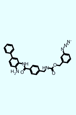 [N-]=[N+]=Nc1cccc(COC(=O)NCc2ccc(C(=O)Nc3cc(-c4ccccc4)ccc3N)cc2)c1